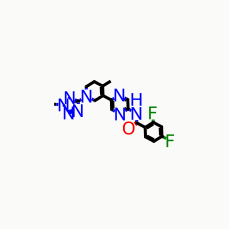 CC1=C(c2cnc(NC(=O)c3ccc(F)cc3F)cn2)CN(c2nnn(C)n2)CC1